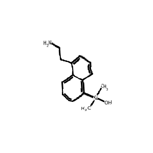 C[Si](C)(O)c1cccc2c(CCN)cccc12